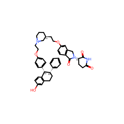 O=C1CC[C@H](N2Cc3cc(OCC[C@@H]4CCCN(CCOc5ccc([C@H]6c7ccc(O)cc7CC[C@H]6c6ccccc6)cc5)C4)ccc3C2=O)C(=O)N1